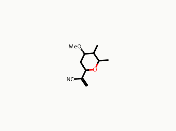 C=C(C#N)C1CC(OC)C(C)C(C)O1